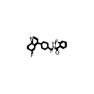 C[C@@H](NC(=O)c1ccccc1F)C1CCC(c2ccnc3ccc(F)cc23)CC1